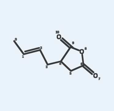 CC=CCC1CC(=O)OC1=O